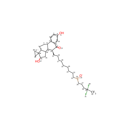 C[C@]12CCC3c4ccc(O)cc4C(=O)[C@@H](CCCCCCCCC[S+]([O-])CCCC(F)(F)C(F)(F)F)C3C1C[C@@H](O)C21CC1